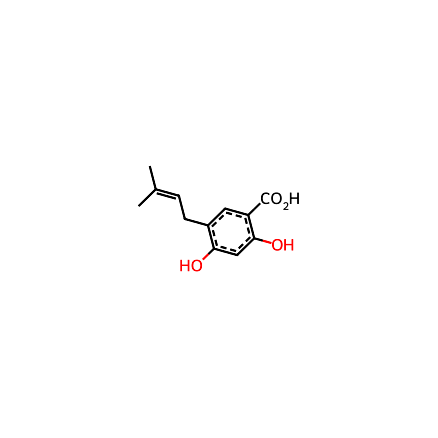 CC(C)=CCc1cc(C(=O)O)c(O)cc1O